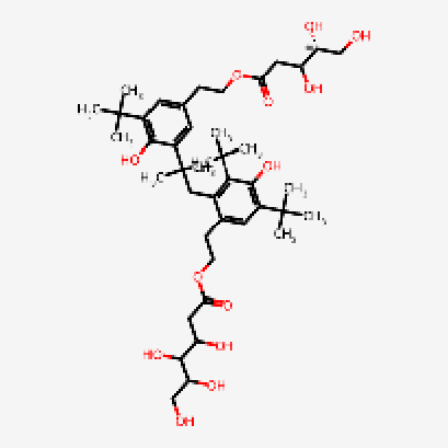 CC(C)(C)c1cc(CCOC(=O)CC(O)[C@H](O)CO)cc(C(C)(C)Cc2c(CCOC(=O)CC(O)C(O)C(O)CO)cc(C(C)(C)C)c(O)c2C(C)(C)C)c1O